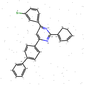 Brc1cccc(-c2cc(-c3ccc(-c4ccccc4)cc3)nc(C3=CC=CCC3)n2)c1